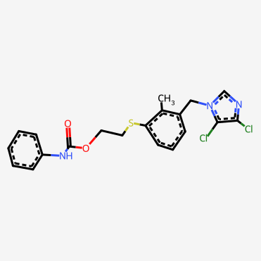 Cc1c(Cn2cnc(Cl)c2Cl)cccc1SCCOC(=O)Nc1ccccc1